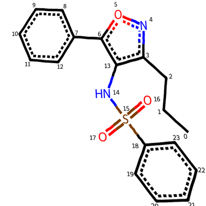 CCCc1noc(-c2ccccc2)c1NS(=O)(=O)c1ccccc1